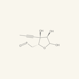 CC#C[C@@]1(O)[C@@H](CP=O)OC(O)[C@@H]1O